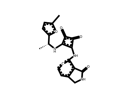 Cc1ccc([C@@H](C)Nc2c(Nc3cccc4c3C(=O)NC4)c(=O)c2=O)o1